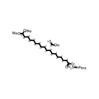 CCCCC[SiH2]OC(=O)CCCCCCCCCCCCCCCCC(OC)OC.OC=S